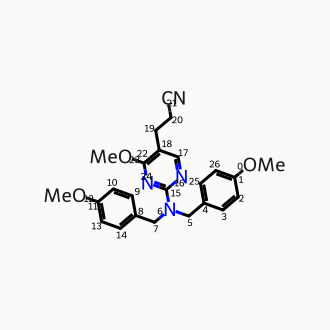 COc1ccc(CN(Cc2ccc(OC)cc2)c2ncc(CCC#N)c(OC)n2)cc1